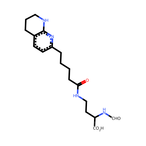 O=CNC(CCNC(=O)CCCCc1ccc2c(n1)NCCC2)C(=O)O